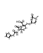 Cn1ccc(SCC2=C(C(=O)O)N3C(=O)[C@@H](NC(=O)Cc4cccs4)[C@H]3SC2)nc1=O